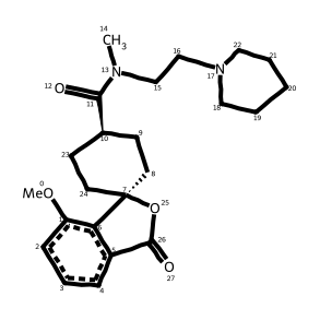 COc1cccc2c1[C@]1(CC[C@H](C(=O)N(C)CCN3CCCCC3)CC1)OC2=O